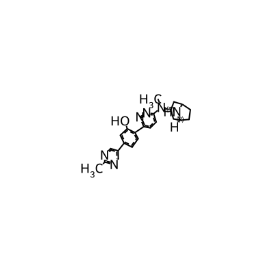 Cc1ncc(-c2ccc(-c3ccc(N(C)[C@H]4CC5CC[C@H](C4)N5)nn3)c(O)c2)cn1